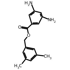 Cc1cc(C)cc(COC(=O)c2cc(N)cc(N)c2)c1